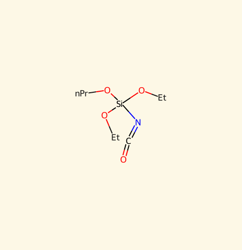 CCCO[Si](N=C=O)(OCC)OCC